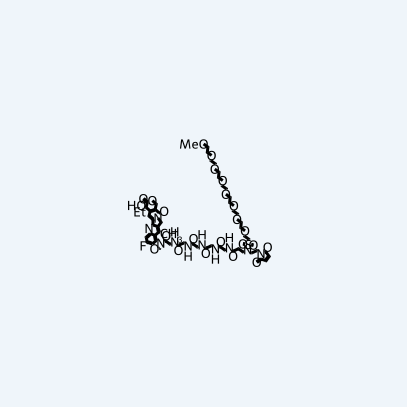 CC[C@@]1(O)C(=O)OCc2c1cc1n(c2=O)Cc2c-1nc1cc(F)c3c(c1c2C)N(C(=O)CNC(=O)CNC(=O)CNC(=O)CNC(=O)CNC(=O)CCN(CCN1C(=O)C=CC1=O)S(=O)(=O)CCOCCOCCOCCOCCOCCOCCOCCOC)CO3